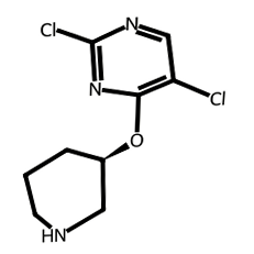 Clc1ncc(Cl)c(O[C@@H]2CCCNC2)n1